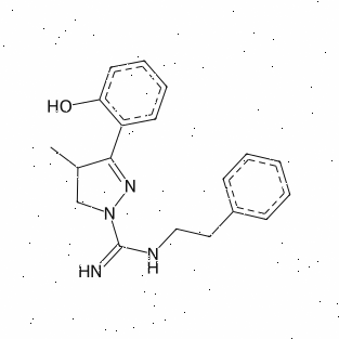 CC1CN(C(=N)NCCc2ccccc2)N=C1c1ccccc1O